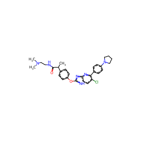 CC(C(=O)NCCN(C)C)c1ccc(Oc2nc3nc(-c4ccc(N5CCCC5)cc4)c(Cl)cc3[nH]2)cc1